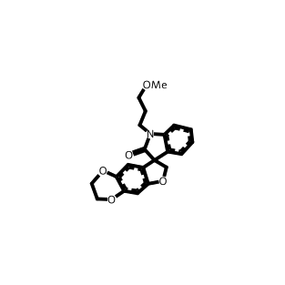 COCCCN1C(=O)C2(COc3cc4c(cc32)OCCO4)c2ccccc21